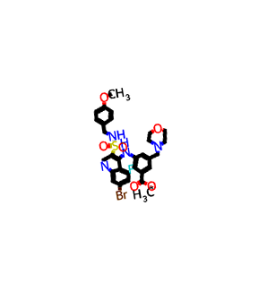 COC(=O)c1cc(CN2CCOCC2)cc(Nc2c(S(=O)(=O)NCc3ccc(OC)cc3)cnc3cc(Br)cc(F)c23)c1